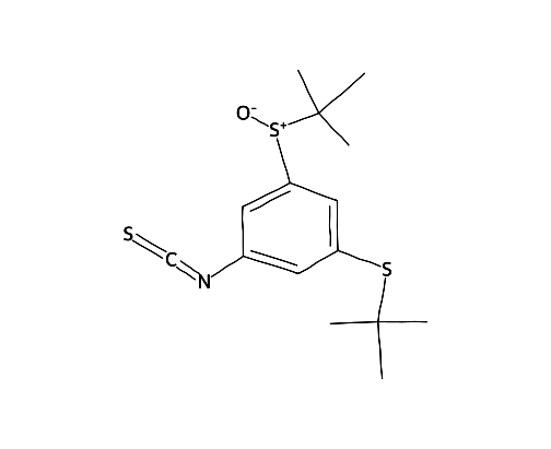 CC(C)(C)Sc1cc(N=C=S)cc([S+]([O-])C(C)(C)C)c1